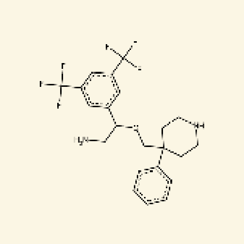 NCC(OCC1(c2ccccc2)CCNCC1)c1cc(C(F)(F)F)cc(C(F)(F)F)c1